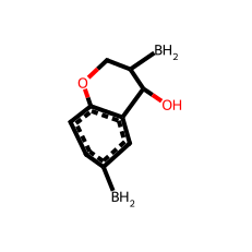 Bc1ccc2c(c1)C(O)C(B)CO2